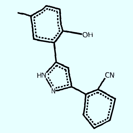 Cc1ccc(O)c(-c2cc(-c3ccccc3C#N)n[nH]2)c1